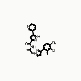 Cc1c(-c2ccn(CC(C)NC(=O)c3cc(-c4cccnc4)[nH]n3)n2)ccc(C#N)c1Cl